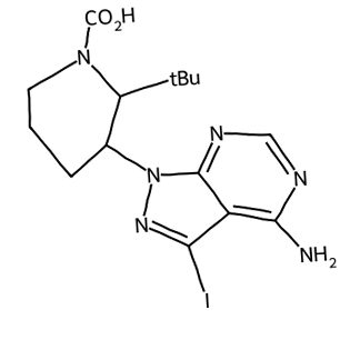 CC(C)(C)C1C(n2nc(I)c3c(N)ncnc32)CCCN1C(=O)O